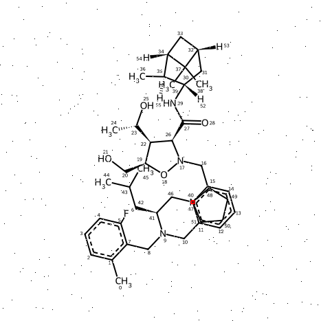 Cc1cccc(F)c1CN(Cc1cccc(CN2O[C@@H](CO)[C@@H]([C@H](C)O)[C@H]2C(=O)N[C@H]2C[C@H]3C[C@@H]([C@@H]2C)C3(C)C)c1)[C@@H](CC(C)C)CN1CCCC1